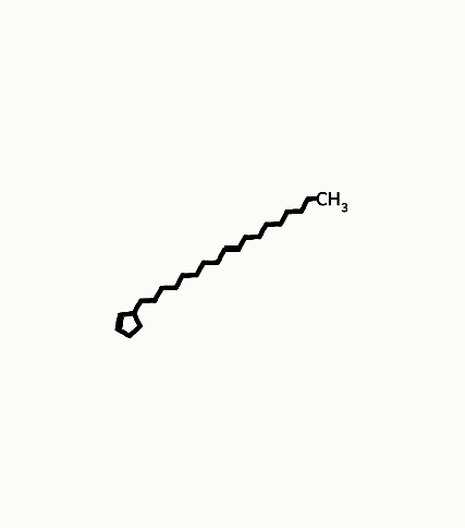 CCCCCCCCC=CCCCCCCCCC1C=CCC1